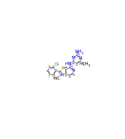 [C-]#[N+]c1cccc(Cl)c1-c1nc2ccnc(Nc3cc(C)nc(N)n3)c2s1